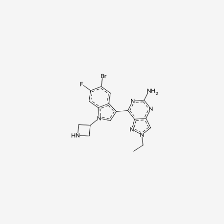 CCn1cc2nc(N)nc(-c3cn(C4CNC4)c4cc(F)c(Br)cc34)c2n1